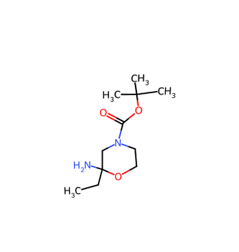 CCC1(N)CN(C(=O)OC(C)(C)C)CCO1